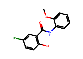 COc1ccccc1NC(=O)c1cc(Br)ccc1O